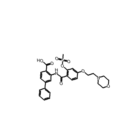 CS(=O)(=O)Oc1cc(OCCN2CCOCC2)ccc1C(=O)Nc1cc(-c2ccccc2)ccc1C(=O)O